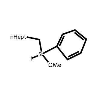 CCCCCCCC[Si](I)(OC)c1ccccc1